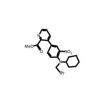 COC(=O)c1ncccc1-c1ccc(N(CC(C)C)C2CCCCC2)c([N+](=O)[O-])c1